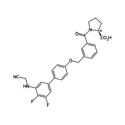 N#CCNc1cc(-c2ccc(OCc3cccc(C(=O)N4CCC[C@H]4C(=O)O)c3)cc2)cc(F)c1F